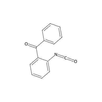 O=C=Nc1ccccc1C(=O)c1ccccc1